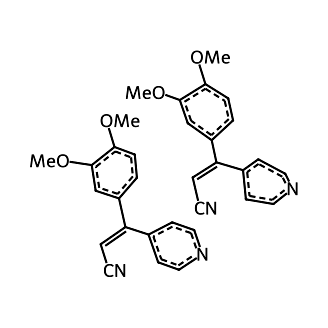 COc1ccc(C(=CC#N)c2ccncc2)cc1OC.COc1ccc(C(=CC#N)c2ccncc2)cc1OC